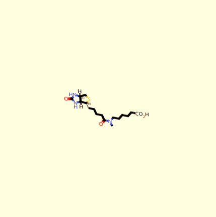 CN(CCCCCC(=O)O)C(=O)CCCC[C@H]1SC[C@H]2NC(=O)N[C@H]21